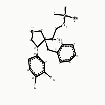 CC(C)(C)[Si](C)(C)OC[C@@H](O)[C@@]1(Cc2ccccc2)CNC[C@H]1c1ccc(F)c(F)c1